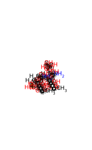 COc1cccc2c1C(=O)c1c(O)c3c(c(O)c1C2=O)C[C@@](O)(C(C)=O)C[C@@H]3O[C@H]1C[C@H](N)[C@H](O)[C@H](C)O1.COc1cccc2c1C(=O)c1c(O)c3c(c(O)c1C2=O)C[C@@](O)(C(C)=O)C[C@@H]3O[C@H]1C[C@H](N)[C@H](O)[C@H](C)O1.O=C(O)CC(O)(CC(=O)O)C(=O)O.O=S(=O)(O)O